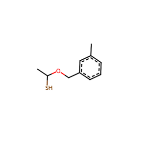 Cc1cccc(COC(C)S)c1